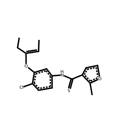 CC=C(CC)Oc1cc(NC(=S)c2ccoc2C)ccc1Cl